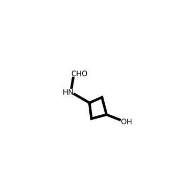 O=CNC1CC(O)C1